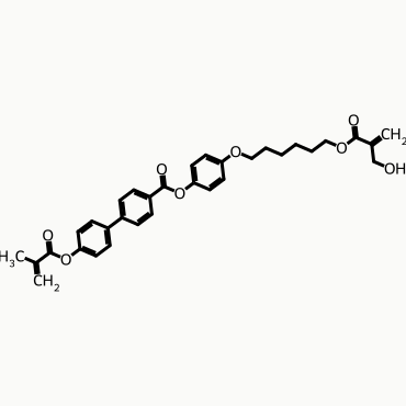 C=C(C)C(=O)Oc1ccc(-c2ccc(C(=O)Oc3ccc(OCCCCCCOC(=O)C(=C)CO)cc3)cc2)cc1